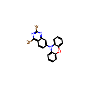 Brc1nc(Br)c2ccc(N3c4ccccc4Oc4ccccc43)cc2n1